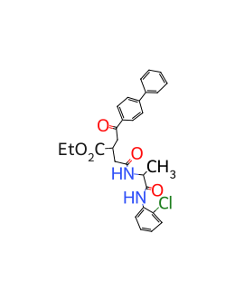 CCOC(=O)C(CC(=O)NC(C)C(=O)Nc1ccccc1Cl)CC(=O)c1ccc(-c2ccccc2)cc1